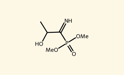 COP(=O)(OC)C(=N)C(C)O